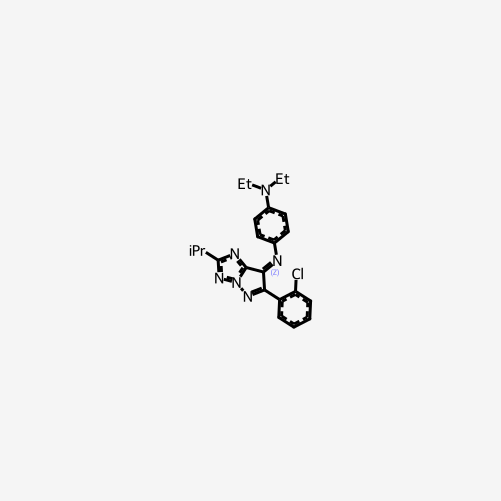 CCN(CC)c1ccc(/N=C2/C(c3ccccc3Cl)=Nn3nc(C(C)C)nc32)cc1